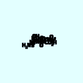 C/C=C(/C)C(=O)OCC1=C(C(=O)O)N2C(=O)[C@@H](NC(=O)/C(=N\O)c3csc(N)n3)[C@H]2SC1